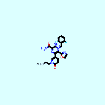 COCCn1cc(C2=C(c3ncco3)N(Cc3c(F)cccc3F)C(N)C(C(N)=O)=N2)ccc1=O